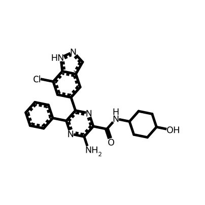 Nc1nc(-c2ccccc2)c(-c2cc(Cl)c3[nH]ncc3c2)nc1C(=O)NC1CCC(O)CC1